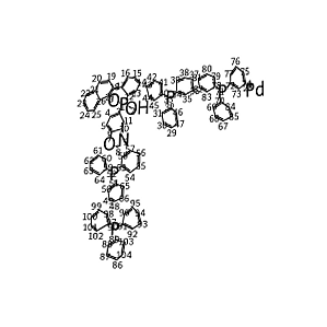 O=P(O)(c1ccc2ocnc2c1)c1ccccc1-c1ccc2ccccc2c1.[Pd].c1ccc(P(c2ccccc2)c2ccccc2)cc1.c1ccc(P(c2ccccc2)c2ccccc2)cc1.c1ccc(P(c2ccccc2)c2ccccc2)cc1.c1ccc(P(c2ccccc2)c2ccccc2)cc1